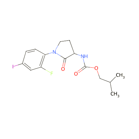 CC(C)COC(=O)NC1CCN(c2ccc(I)cc2F)C1=O